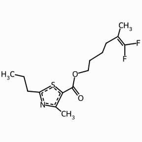 CCCc1nc(C)c(C(=O)OCCCCC(C)=C(F)F)s1